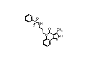 Cc1[nH]nc2c1c(=O)n(CCCNS(=O)(=O)c1ccccc1)c1ccccc21